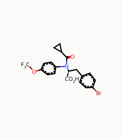 O=C(O)[C@H](Cc1ccc(Br)cc1)N(C(=O)C1CC1)c1ccc(OC(F)(F)F)cc1